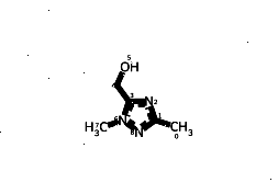 Cc1nc(CO)n(C)n1